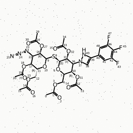 CC(=O)OCC1O[C@@H](SC2O[C@H](COC(C)=O)C(OC(C)=O)C(N=[N+]=[N-])[C@H]2OC(C)=O)[C@@H](OC(C)=O)C(n2cc(-c3cc(F)c(F)c(F)c3)[nH]2)[C@H]1OC(C)=O